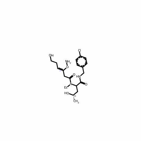 CCN(C(=O)C/C(=C/CCO)ON)C(C[C@H](C)O)C(=O)NCc1ccc(Cl)cc1